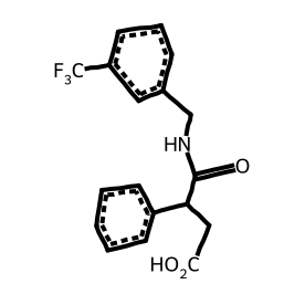 O=C(O)CC(C(=O)NCc1cccc(C(F)(F)F)c1)c1ccccc1